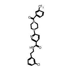 O=C(NCCc1cccc(Cl)c1)c1ccc(N2CCN(C(=O)c3cccc(C(F)(F)F)c3)CC2)nc1